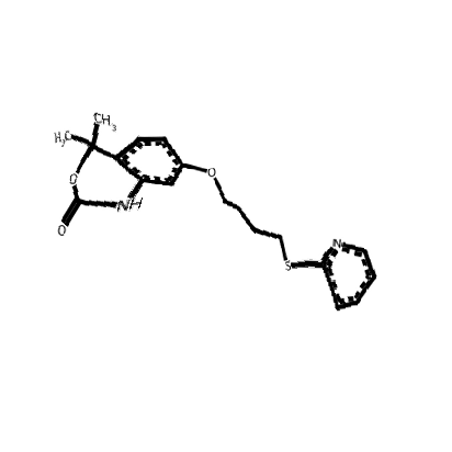 CC1(C)OC(=O)Nc2cc(OCCCCSc3ccccn3)ccc21